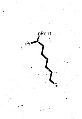 CCCCCC(CCC)CCCCCC[S]